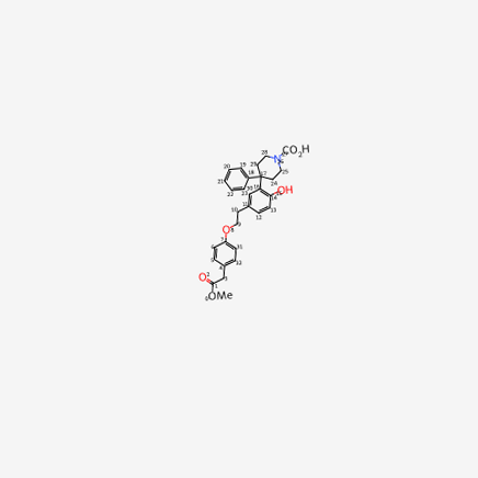 COC(=O)Cc1ccc(OCCc2ccc(O)c(C3(c4ccccc4)CCN(C(=O)O)CC3)c2)cc1